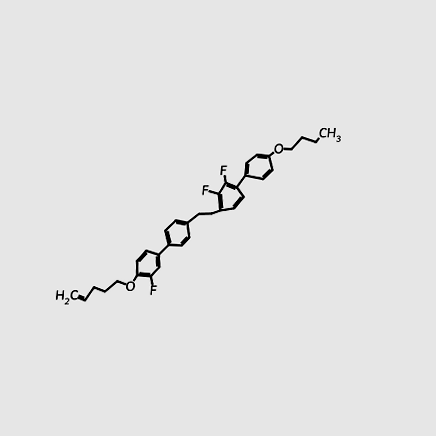 C=CCCCOc1ccc(-c2ccc(CCc3ccc(-c4ccc(OCCCC)cc4)c(F)c3F)cc2)cc1F